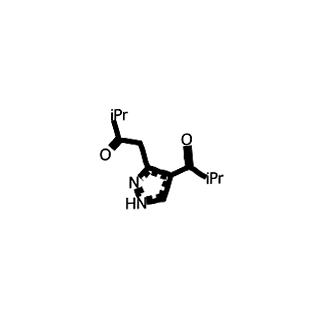 CC(C)C(=O)Cc1n[nH]cc1C(=O)C(C)C